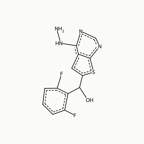 NNc1ncnc2sc(C(O)c3c(F)cccc3F)cc12